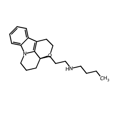 CCCCNCCCC12CCCn3c1c(c1ccccc13)CCO2